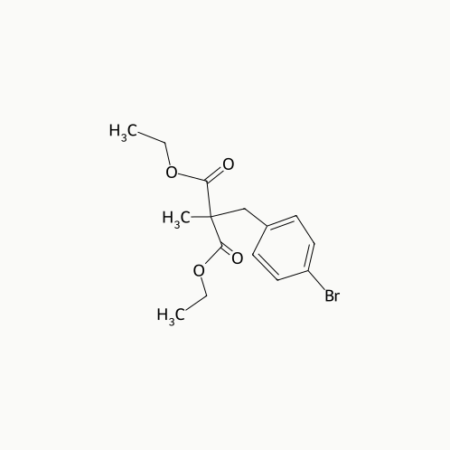 CCOC(=O)C(C)(Cc1ccc(Br)cc1)C(=O)OCC